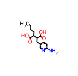 CCCCC(C(=O)O)C(Cc1ccc(N)nc1)C(=O)O